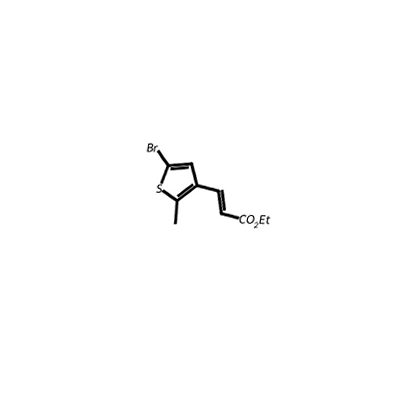 CCOC(=O)/C=C/c1cc(Br)sc1C